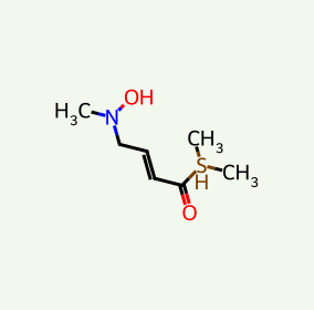 CN(O)C/C=C/C(=O)[SH](C)C